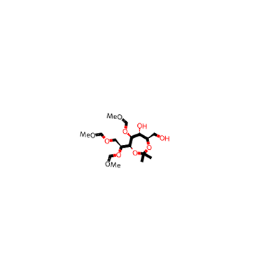 COCOC[C@H](OCOC)[C@H]1OC(C)(C)O[C@H](CO)[C@@H](O)[C@@H]1OCOC